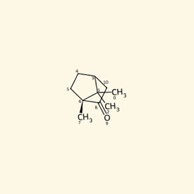 CC1(C)C2CC[C@@]1(C)C(=O)C2